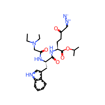 CCN(CC)CC(=O)N[C@@H](Cc1c[nH]c2ccccc12)C(=O)N[C@@H](CCC(=O)C=[N+]=[N-])C(=O)OC(C)C